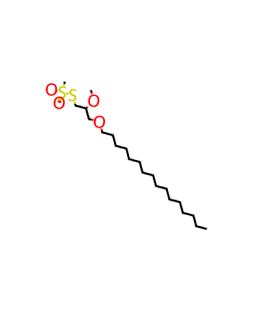 CCCCCCCCCCCCCCCCOCC(CSS(C)(=O)=O)OC